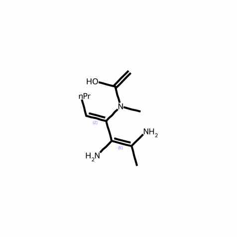 C=C(O)N(C)C(=C\CCC)/C(N)=C(/C)N